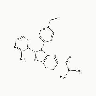 CN(C)C(=O)c1ccc2nc(-c3cccnc3N)n(-c3ccc(CCl)cc3)c2n1